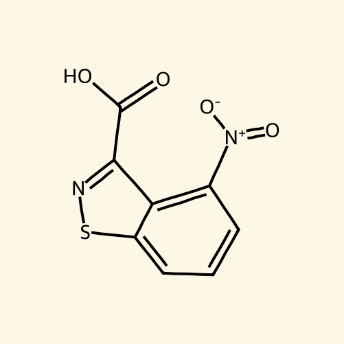 O=C(O)c1nsc2cccc([N+](=O)[O-])c12